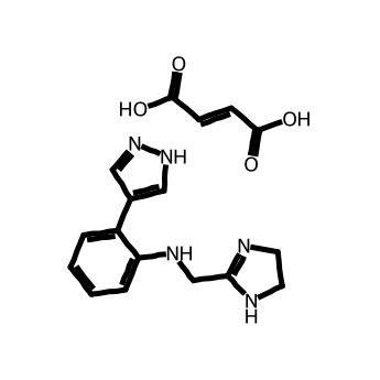 O=C(O)C=CC(=O)O.c1ccc(-c2cn[nH]c2)c(NCC2=NCCN2)c1